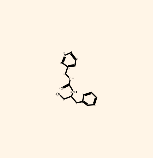 NCC(Cc1ccccc1)NC(=O)OCc1cccnc1